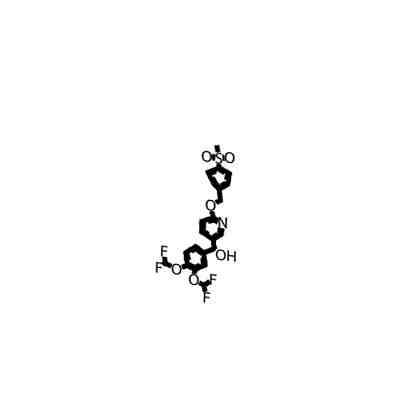 CS(=O)(=O)c1ccc(COc2ccc(C(O)c3ccc(OC(F)F)c(OC(F)F)c3)cn2)cc1